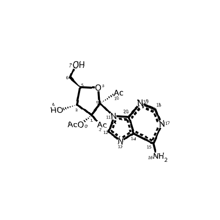 CC(=O)O[C@]1(C(C)=O)[C@H](O)[C@@H](CO)O[C@@]1(C(C)=O)n1cnc2c(N)ncnc21